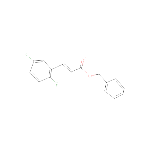 O=C(C=Cc1cc(F)ccc1F)OCc1ccccc1